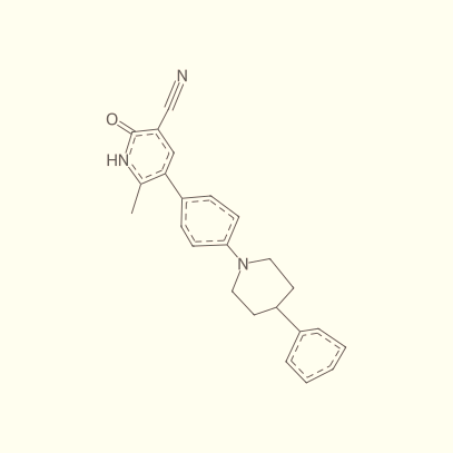 Cc1[nH]c(=O)c(C#N)cc1-c1ccc(N2CCC(c3ccccc3)CC2)cc1